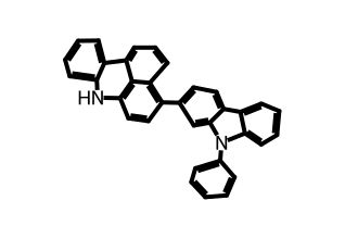 c1ccc(-n2c3ccccc3c3ccc(-c4ccc5c6c(cccc46)-c4ccccc4N5)cc32)cc1